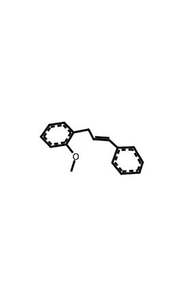 COc1ccccc1C/C=C/c1ccccc1